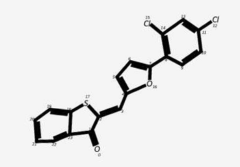 O=C1C(=Cc2ccc(-c3ccc(Cl)cc3Cl)o2)Sc2ccccc21